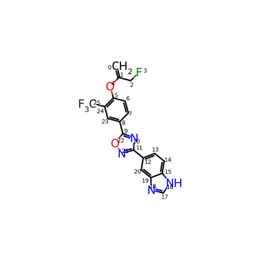 C=C(CF)Oc1ccc(-c2nc(-c3ccc4[nH]cnc4c3)no2)cc1C(F)(F)F